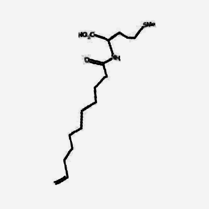 C=CCCCCCCCCC(=O)NC(CCSC)C(=O)O